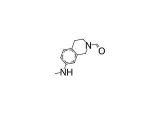 CNc1ccc2c(c1)CN(C=O)CC2